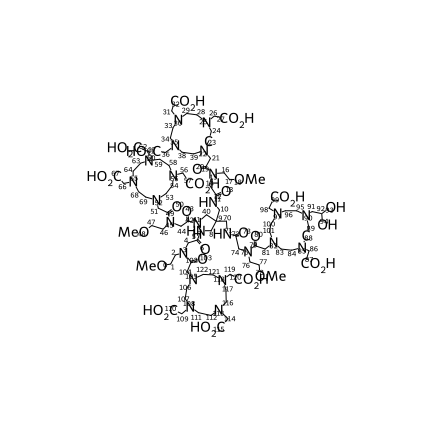 COCCN(CC(=O)NCC(CNC(=O)CN(CCOC)C(=O)CN1CCN(CC(=O)O)CCN(CC(=O)O)CCN(CC(=O)O)CC1)(CNC(=O)CN(CCOC)C(=O)CN1CCN(CC(=O)O)CCN(CC(=O)O)CCN(CC(=O)O)CC1)CNC(=O)CN(CCOC)C(=O)CN1CCN(CC(=O)O)CCN(CC(O)O)CCN(CC(=O)O)CC1)C(=O)CN1CCN(CC(=O)O)CCN(CC(=O)O)CCN(CC(=O)O)CC1